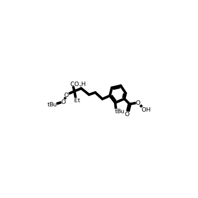 CCC(CCCCc1cccc(C(=O)OO)c1C(C)(C)C)(OOC(C)(C)C)C(=O)O